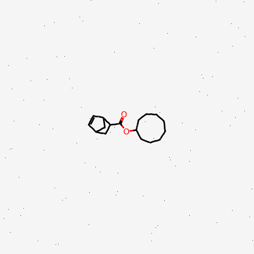 O=C(OC1CCCCCCCC1)C1CC2C=CC1C2